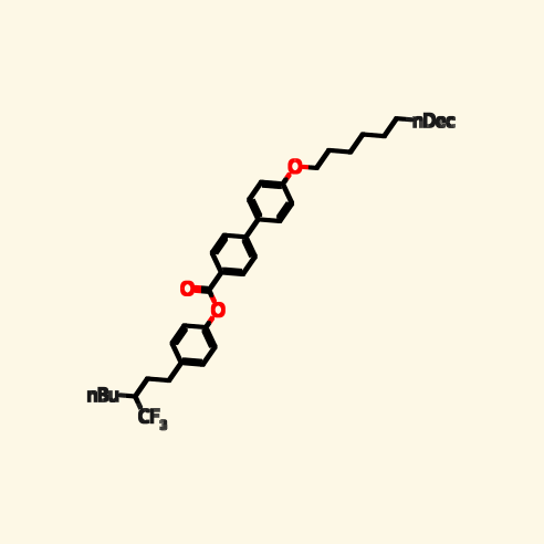 CCCCCCCCCCCCCCCCOc1ccc(-c2ccc(C(=O)Oc3ccc(CCC(CCCC)C(F)(F)F)cc3)cc2)cc1